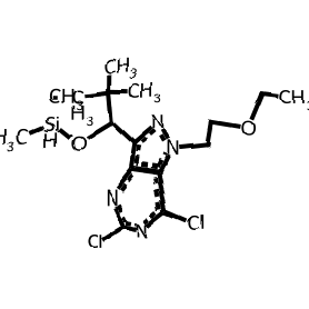 CCOCCn1nc(C(O[SiH](C)C)C(C)(C)C)c2nc(Cl)nc(Cl)c21